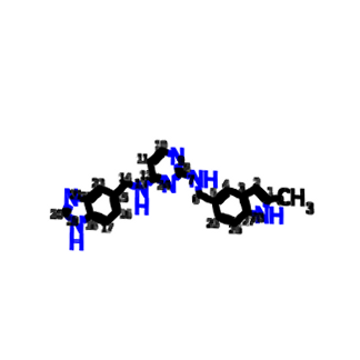 Cc1cc2cc(CNc3nccc(NCc4ccc5[nH]cnc5c4)n3)ccc2[nH]1